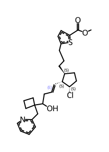 COC(=O)c1ccc(CCC[C@H]2CC[C@H](Cl)[C@@H]2/C=C/CC(O)C2(Cc3ccccn3)CCC2)s1